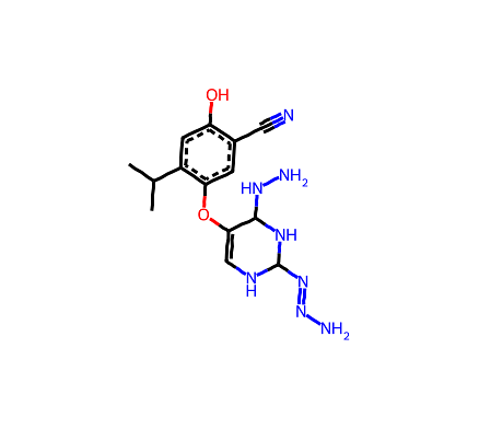 CC(C)c1cc(O)c(C#N)cc1OC1=CNC(N=NN)NC1NN